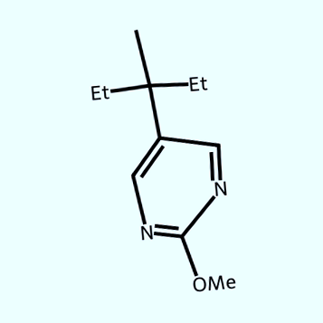 CCC(C)(CC)c1cnc(OC)nc1